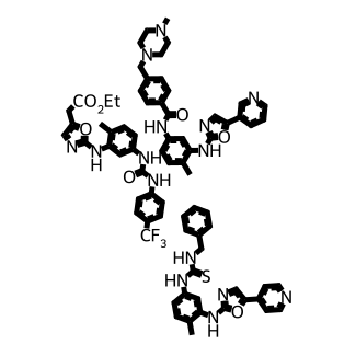 CCOC(=O)Cc1cnc(Nc2cc(NC(=O)Nc3ccc(C(F)(F)F)cc3)ccc2C)o1.Cc1ccc(NC(=O)c2ccc(CN3CCN(C)CC3)cc2)cc1Nc1ncc(-c2cccnc2)o1.Cc1ccc(NC(=S)NCc2ccccc2)cc1Nc1ncc(-c2ccncc2)o1